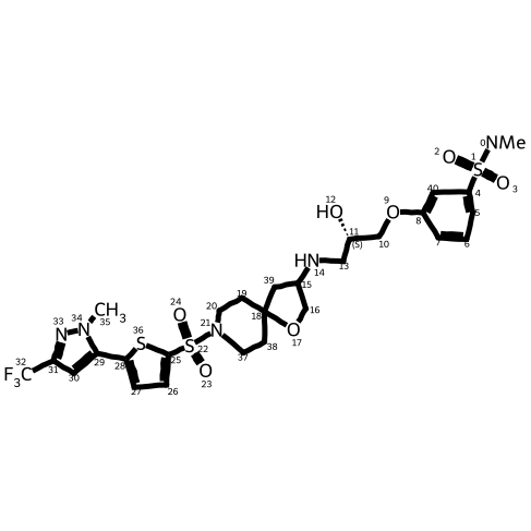 CNS(=O)(=O)c1cccc(OC[C@@H](O)CNC2COC3(CCN(S(=O)(=O)c4ccc(-c5cc(C(F)(F)F)nn5C)s4)CC3)C2)c1